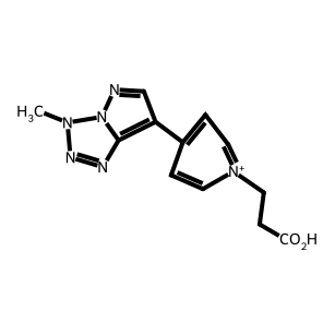 Cn1nnc2c(-c3cc[n+](CCC(=O)O)cc3)cnn21